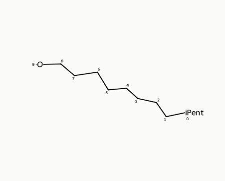 CCCC(C)CCCCCCCC[O]